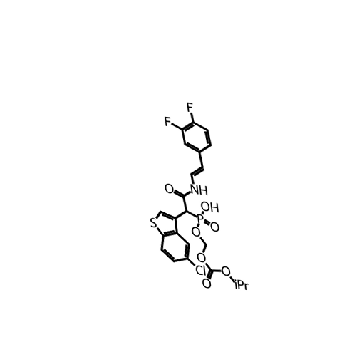 CC(C)OC(=O)OCOP(=O)(O)C(C(=O)NC=Cc1ccc(F)c(F)c1)c1csc2ccc(Cl)cc12